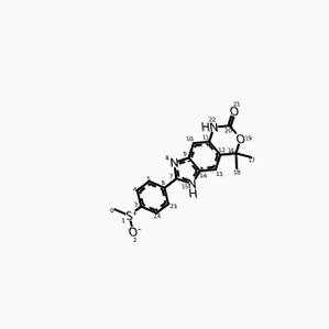 C[S+]([O-])c1ccc(-c2nc3cc4c(cc3[nH]2)C(C)(C)OC(=O)N4)cc1